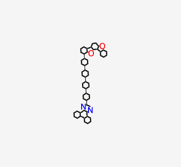 c1ccc2c(c1)oc1ccc3c4cccc(-c5ccc(-c6ccc(-c7ccc(-c8ccc(-c9cnc%10c%11ccccc%11c%11ccccc%11c%10n9)cc8)cc7)cc6)cc5)c4oc3c12